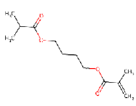 C=C(C)C(=O)OCCCCOC(=O)C(C)C